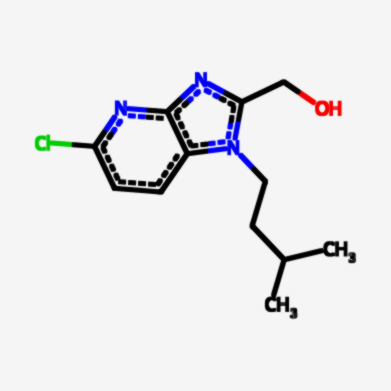 CC(C)CCn1c(CO)nc2nc(Cl)ccc21